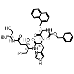 CC[C@H](C)[C@@H](CO)NC(=O)C[C@H](O)[C@H](CC(C)C)NC(=O)[C@H](Cc1c[nH]cn1)NC(=O)[C@H](Cc1cccc2ccccc12)NC(=O)OCc1ccccc1